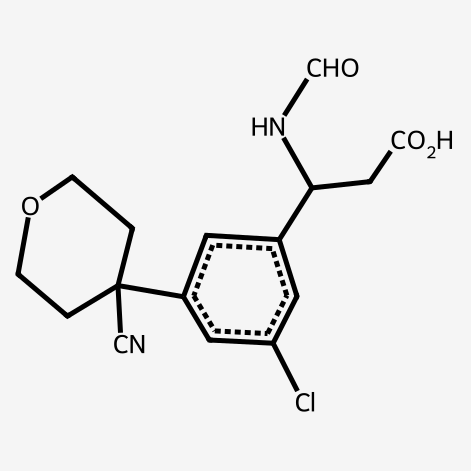 N#CC1(c2cc(Cl)cc(C(CC(=O)O)NC=O)c2)CCOCC1